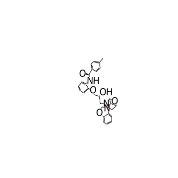 Cc1ccc(C(=O)Nc2ccccc2OCC(O)CN2CCC3OC2C3N2COc3ccccc32)cc1